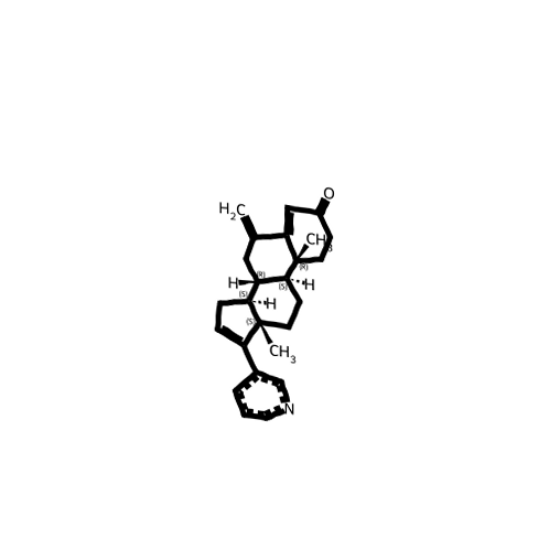 C=C1C[C@@H]2[C@H](CC[C@]3(C)C(c4cccnc4)=CC[C@@H]23)[C@@]2(C)CCC(=O)C=C12